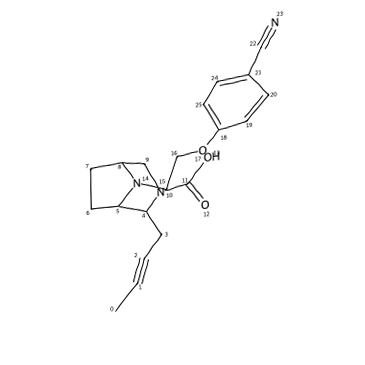 CC#CCC1C2CCC(CN1C(=O)O)N2CCOc1ccc(C#N)cc1